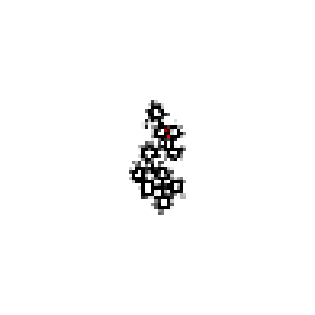 c1ccc(-c2ccccc2N(c2cccc(N(c3ccccc3)c3cccc(C4(c5ccccc5)c5ccccc5-c5ccccc54)c3)c2)c2ccc3c(c2)oc2ccccc23)cc1